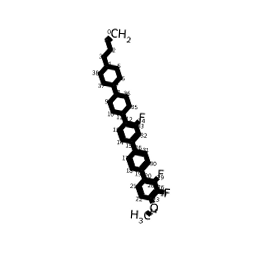 C=CCCC1CCC(C2CCC(c3ccc(-c4ccc(-c5ccc(OC)c(F)c5F)cc4)cc3F)CC2)CC1